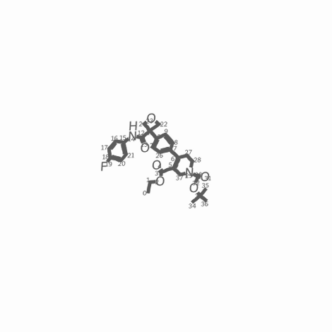 CCOC(=O)C1=C(c2ccc(C3(C(=O)Nc4ccc(F)cc4)COC3)cc2)CCN(C(=O)OC(C)(C)C)C1